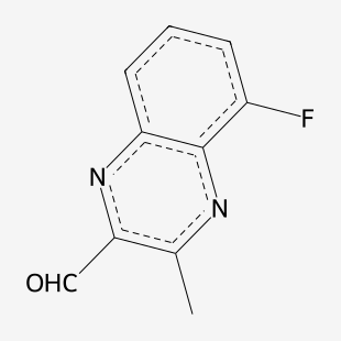 Cc1nc2c(F)cccc2nc1C=O